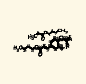 C=CC(=O)OCCCC.CCCCOC(=O)C=Cc1ccc(OC(F)F)c(F)c1